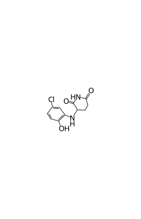 O=C1CCC(Nc2cc(Cl)ccc2O)C(=O)N1